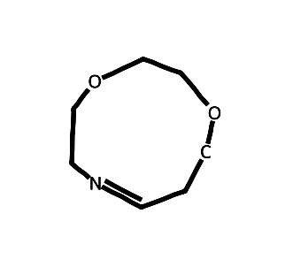 C1=NCCOCCOCC1